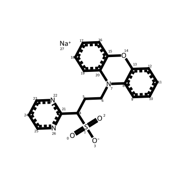 O=S(=O)([O-])C(CCN1c2ccccc2Oc2ccccc21)c1ncccn1.[Na+]